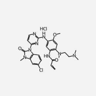 C=CC(=O)Nc1cc(Nc2nccc(-n3c(=O)n(C)c4cc(Cl)ccc43)n2)c(OC)cc1N(C)CCN(C)C.Cl